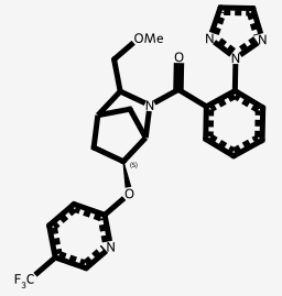 COCC1C2CC([C@@H](Oc3ccc(C(F)(F)F)cn3)C2)N1C(=O)c1ccccc1-n1nccn1